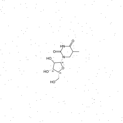 CC1CN([C@@H]2O[C@H](CO)[C@H](O)C2O)C(=O)NC1=O